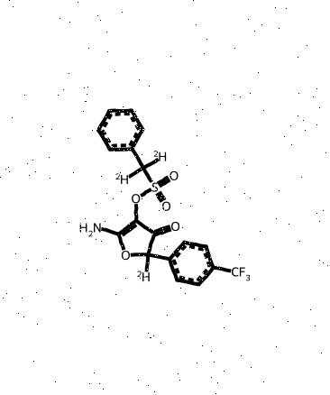 [2H]C1(c2ccc(C(F)(F)F)cc2)OC(N)=C(OS(=O)(=O)C([2H])([2H])c2ccccc2)C1=O